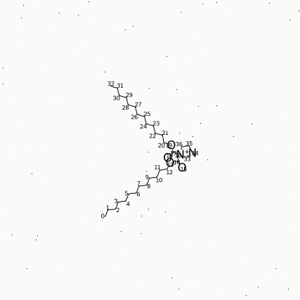 CCCCCCCCCCCCCOC(=O)[N+]1(C(=O)OCCCCCCCCCCCCC)C=NCC1